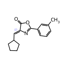 Cc1cccc(C2=N/C(=C\C3CCCC3)C(=O)O2)c1